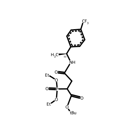 CCOP(=O)(OCC)C(CC(=O)N[C@@H](C)c1ccc(C(F)(F)F)cc1)C(=O)OC(C)(C)C